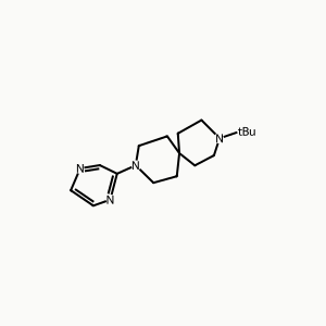 CC(C)(C)N1CCC2(CCN(c3cnccn3)CC2)CC1